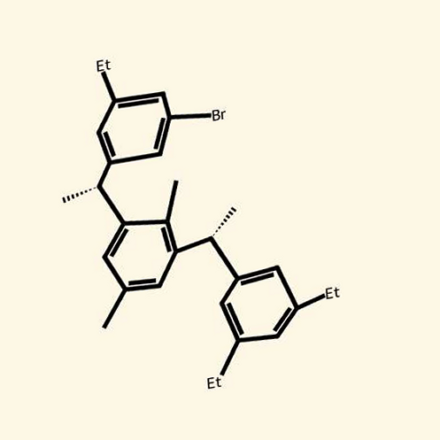 CCc1cc(Br)cc([C@@H](C)c2cc(C)cc([C@H](C)c3cc(CC)cc(CC)c3)c2C)c1